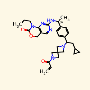 C=CC(=O)N1CC2(C1)CN(C(CC1CC1)c1ccc([C@H](C)Nc3ncc4c(n3)N(CCC)C(=O)OC4)cc1)C2